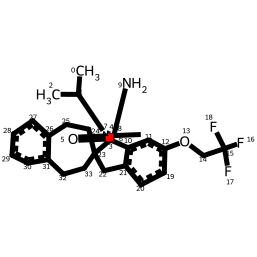 CC(C)N1C(=O)C2(N=C1N)c1cc(OCC(F)(F)F)ccc1CC21CCc2ccccc2CC1